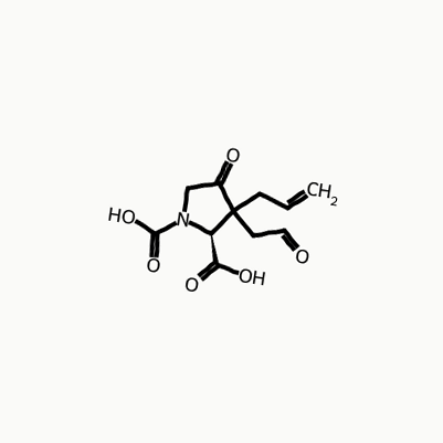 C=CCC1(CC=O)C(=O)CN(C(=O)O)[C@@H]1C(=O)O